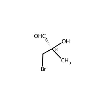 C[C@@](O)(C=O)CBr